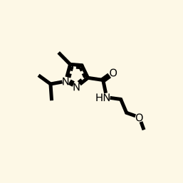 COCCNC(=O)c1cc(C)n(C(C)C)n1